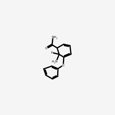 NC(=O)C1C=CC=C(Oc2ccccc2)C1(N)F